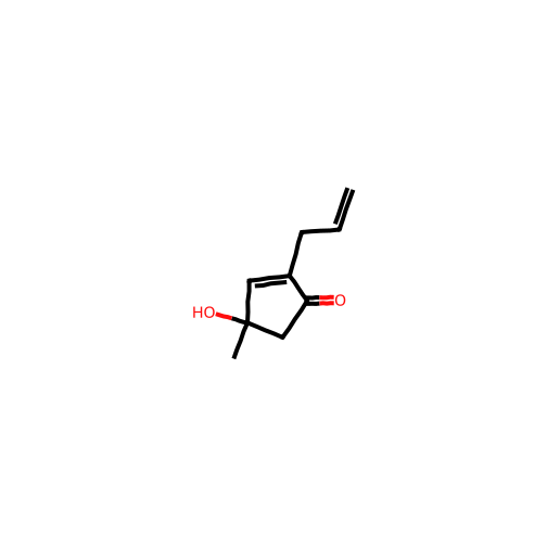 C=CCC1=CC(C)(O)CC1=O